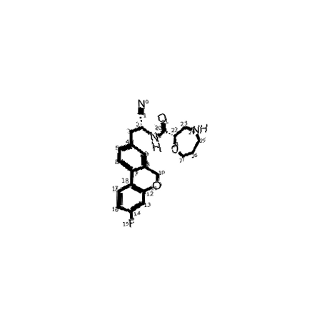 N#C[C@@H](Cc1ccc2c(c1)COc1cc(F)ccc1-2)NC(=O)[C@@H]1CNCCCO1